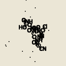 N#CC1CCN(C(=O)Nc2ccc(CC(C(=O)Nc3ccc4[nH]c(=O)cc(O)c4c3)N3CCN(c4cc(Cl)ccc4-n4cnnn4)C(=O)C3=O)cc2)CC1